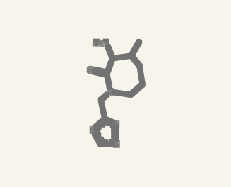 CNC1C(=O)N(Cc2nncs2)CCCC1C